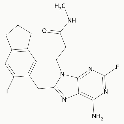 CNC(=O)CCn1c(Cc2cc3c(cc2I)CCC3)nc2c(N)nc(F)nc21